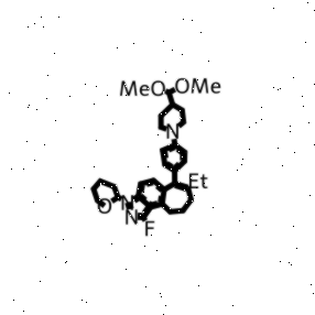 CCC1=C(c2ccc(N3CCC(C(OC)OC)CC3)cc2)c2ccc3c(c(F)nn3C3CCCCO3)c2CCC1